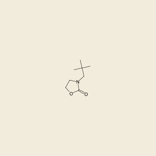 CC(C)(C)CN1CCOC1=O